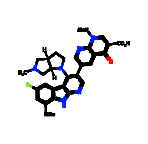 CNc1cc(F)cc2c1[nH]c1ncc(-c3cnc4c(c3)c(=O)c(C(=O)O)cn4NC)c(N3CC[C@@H]4CN(C)C[C@@H]43)c12